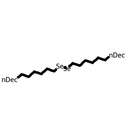 CCCCCCCCCCCCCCCC[Se][Se]CCCCCCCCCCCCCCCC